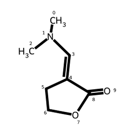 CN(C)/C=C1\CCOC1=O